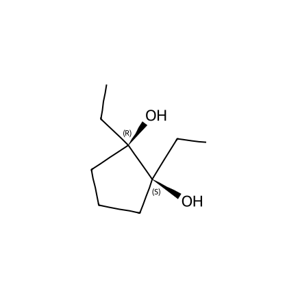 CC[C@@]1(O)CCC[C@@]1(O)CC